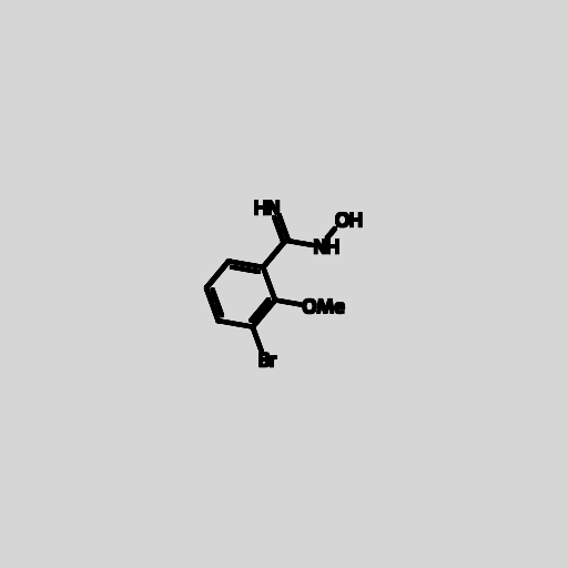 COc1c(Br)cccc1C(=N)NO